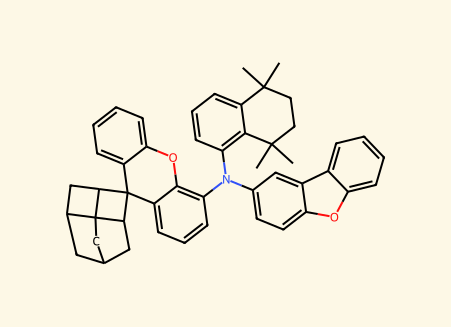 CC1(C)CCC(C)(C)c2c(N(c3ccc4oc5ccccc5c4c3)c3cccc4c3Oc3ccccc3C43C4CC5CC6CC3C64C5)cccc21